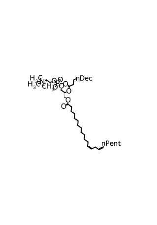 CCCCC/C=C\C/C=C\CCCCCCCCCCCC(=O)OC[C@H](COP(=O)([O-])OCC[N+](C)(C)C)OC(=O)CCCCCCCCCCCC